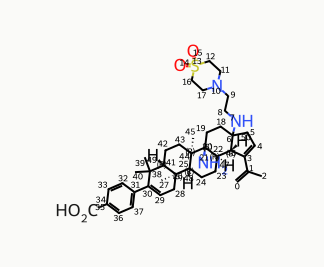 C=C(C)C1=CCC2(NCCN3CCS(=O)(=O)CC3)CC[C@]3(N)[C@H](CC[C@@H]4[C@@]5(C)CC=C(c6ccc(C(=O)O)cc6)C(C)(C)[C@@H]5CC[C@]43C)[C@@H]12